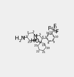 NC1CCN(CC(c2cccc(C(F)(F)F)c2)C2(O)CCCCC2)CC1